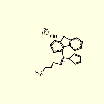 CCCC/C=C(\c1cccc2c1-c1ccccc1C2)C1C=CC=C1.Cl.Cl.[Zr]